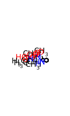 COC(=O)[C@H](Cc1c[nH]c2ccccc12)NC(=O)CO/N=C(\[C@@H](O)[C@@H](C)O)[C@@H](OC)C(C)(C)C